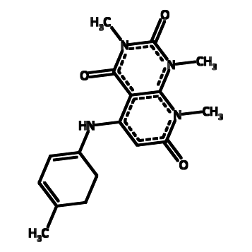 CC1=CC=C(Nc2cc(=O)n(C)c3c2c(=O)n(C)c(=O)n3C)CC1